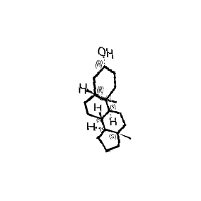 C[C@@]12CCC[C@H]1[C@@H]1CC[C@@H]3C[C@H](O)CC[C@]3(C)[C@H]1CC2